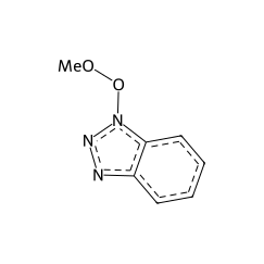 COOn1nnc2ccccc21